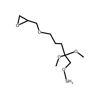 COC(CCCOCC1CO1)(CO[SiH3])OC